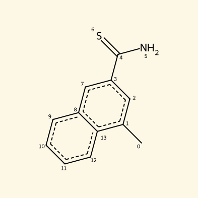 Cc1cc(C(N)=S)cc2ccccc12